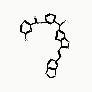 CN(c1cccc(NC(=O)c2cccc(C(F)(F)F)c2)c1)c1ccc2c(C=Cc3ccc4c(c3)OCO4)n[nH]c2c1